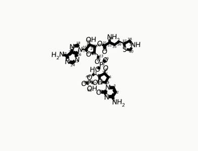 Nc1ccn([C@H]2C[C@H](OP(=O)(O)OC[C@@H]3O[C@@H](n4cnc5c(N)ncnc54)[C@H](O)[C@@H]3OC(=O)C(N)CC[C@H]3CNCS3)[C@@H](COP(=O)(O)O)O2)c(=O)n1